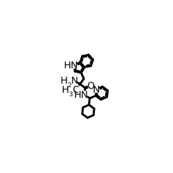 CC(N)(Cc1c[nH]c2ccccc12)C(=O)NC(c1ccccn1)C1CCCCC1